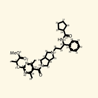 COC(=O)C(C)Oc1nc(C)c(C(=O)N2CC3CN(CCC(NC(=O)C4CCCC4)c4ccccc4)CC3C2)c(C)n1